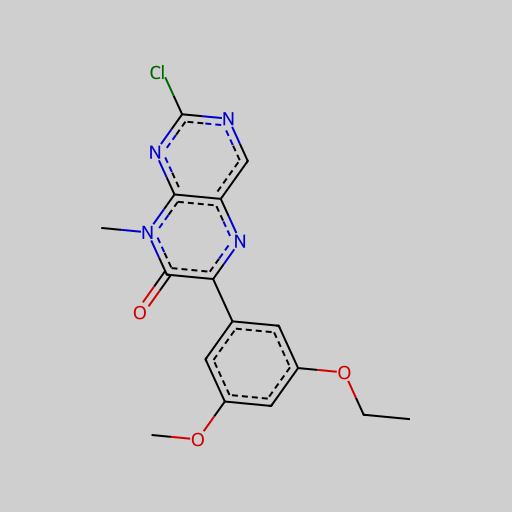 CCOc1cc(OC)cc(-c2nc3cnc(Cl)nc3n(C)c2=O)c1